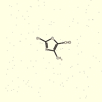 CCc1nc(C)c(C=O)o1